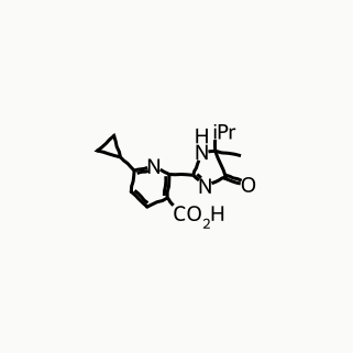 CC(C)C1(C)NC(c2nc(C3CC3)ccc2C(=O)O)=NC1=O